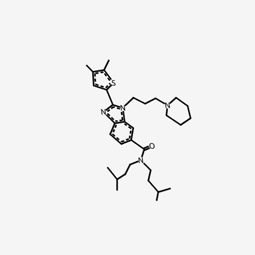 Cc1cc(-c2nc3ccc(C(=O)N(CCC(C)C)CCC(C)C)cc3n2CCCN2CCCCC2)sc1C